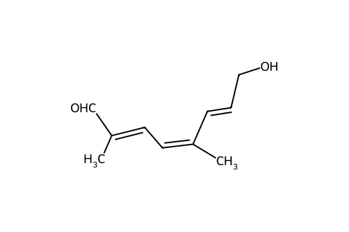 CC(C=O)=CC=C(C)C=CCO